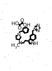 CN(CCc1c[nH]c2ccc(Cn3cncn3)cc12)[C@@H]1CCN(Cc2ccccc2)C1.O=C(O)C(=O)O